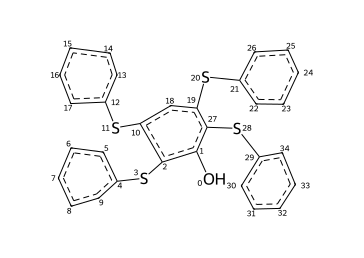 Oc1c(Sc2ccccc2)c(Sc2ccccc2)cc(Sc2ccccc2)c1Sc1ccccc1